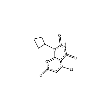 CCc1cc(=O)oc2c1c(=O)[nH]c(=O)n2C1CCC1